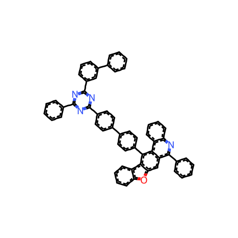 c1ccc(-c2cccc(-c3nc(-c4ccccc4)nc(-c4ccc(-c5ccc(-c6c7c(cc8c(-c9ccccc9)nc9ccccc9c68)oc6ccccc67)cc5)cc4)n3)c2)cc1